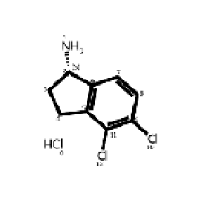 Cl.N[C@H]1CCc2c1ccc(Cl)c2Cl